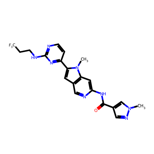 Cn1cc(C(=O)Nc2cc3c(cn2)cc(-c2ccnc(NCCC(F)(F)F)n2)n3C)cn1